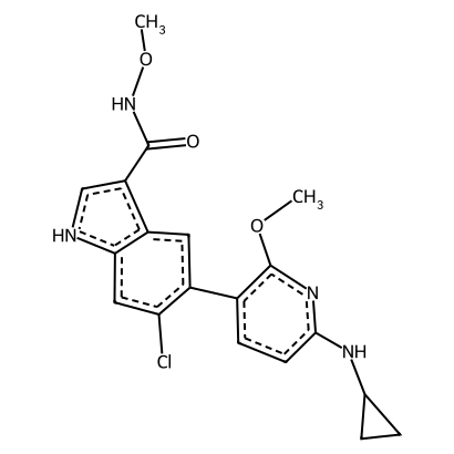 CONC(=O)c1c[nH]c2cc(Cl)c(-c3ccc(NC4CC4)nc3OC)cc12